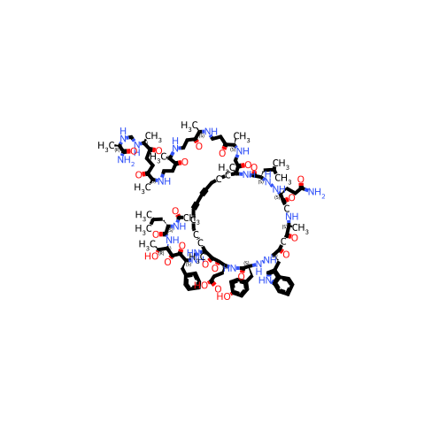 CC(=O)N[C@@H](CC(C)C)C(=O)N[C@H](C(=O)C(=O)[C@H](Cc1ccccc1)NN[C@]1(C)CCCCC#CC#CCCC[C@@](C)(C(=O)CN[C@@H](C)C(=O)CCN[C@@H](C)C(=O)CCN[C@@H](C)C(=O)CCN[C@@H](C)C(=O)CCC(=O)[C@H](C)NCN[C@H](C)C(N)=O)NC(=O)[C@H](CC(C)C)NN[C@@H](CCC(N)=O)C(=O)CN[C@@H](C)C(=O)CC(=O)[C@H](Cc2c[nH]c3ccccc23)NN[C@@H](Cc2ccc(O)cc2)C(=O)N[C@@H](CCC(=O)O)C(=O)C1=O)[C@@H](C)O